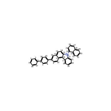 c1ccc(-c2ccc(-c3ccc4c(ccc5c4c4ccccc4n5-c4cccc5ccccc45)c3)cc2)cc1